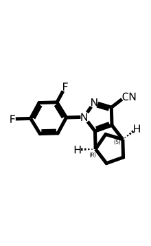 N#Cc1nn(-c2ccc(F)cc2F)c2c1[C@H]1CC[C@@H]2C1